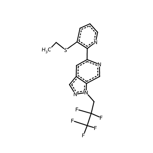 CCSc1cccnc1-c1cc2cnn(CC(F)(F)C(F)(F)F)c2cn1